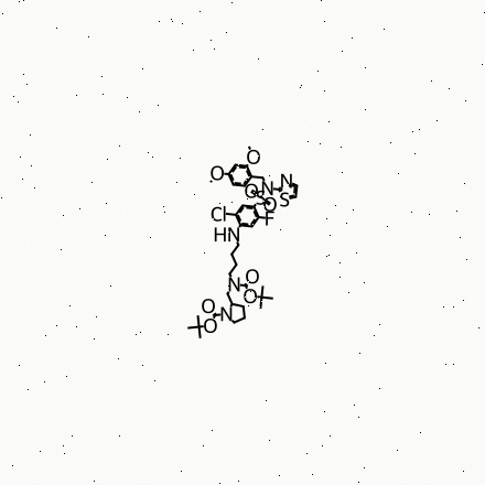 COc1ccc(CN(c2nccs2)S(=O)(=O)c2cc(Cl)c(NCCCCN(CC3CCCN3C(=O)OC(C)(C)C)C(=O)OC(C)(C)C)cc2F)c(OC)c1